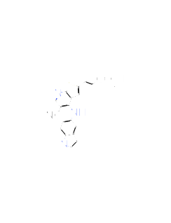 N#Cc1cnc2sc(C=CC(=O)O)cc2c1Nc1ccc2[nH]ccc2c1